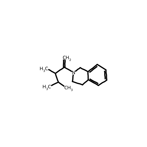 C=C(C(C)C(C)C)N1CCc2ccccc2C1